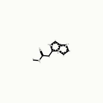 COC(=O)Cc1ncc2sccn12